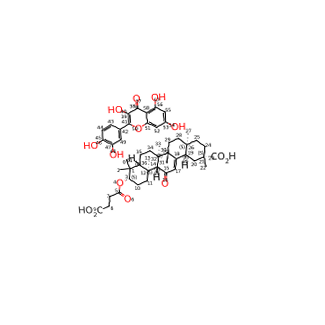 CC1(C)[C@@H](OC(=O)CCC(=O)O)CC[C@]2(C)[C@H]3C(=O)C=C4[C@@H]5C[C@@](C)(C(=O)O)CC[C@]5(C)CC[C@@]4(C)[C@]3(C)CC[C@@H]12.O=c1c(O)c(-c2ccc(O)c(O)c2)oc2cc(O)cc(O)c12